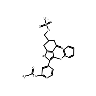 CC(=O)Nc1cc(-c2[nH]c3c(c2Nc2ccccc2)C(=O)CC(COS(C)(=O)=O)C3)ccn1